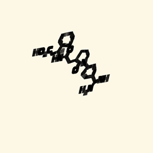 N=C(N)c1ccc(N2CCCC(CC(=O)N[C@@H](CC(=O)O)c3ccccc3)C2=O)cc1